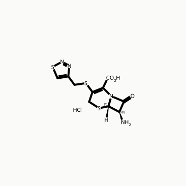 Cl.N[C@@H]1C(=O)N2C(C(=O)O)=C(SCc3csnn3)CS[C@@H]12